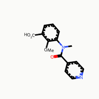 COc1c(C(=O)O)cccc1N(C)C(=O)c1ccncc1